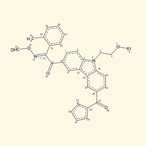 CCOCCn1c2ccc(C(=O)/C(=N/OC=O)c3ccccc3C)cc2c2cc(C(=O)c3cccs3)ccc21